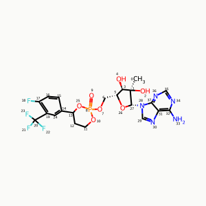 C[C@@]1(O)[C@H](O)[C@@H](COP2(=O)OCCC(c3ccc(F)c(C(F)(F)F)c3)O2)O[C@H]1n1cnc2c(N)ncnc21